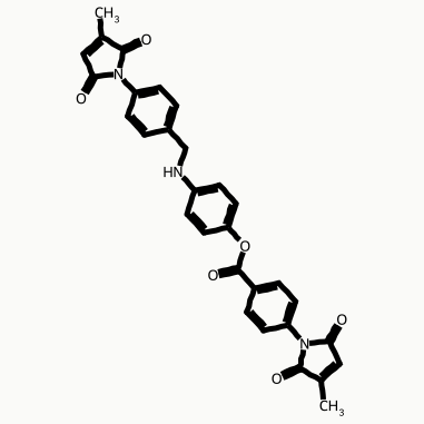 CC1=CC(=O)N(c2ccc(CNc3ccc(OC(=O)c4ccc(N5C(=O)C=C(C)C5=O)cc4)cc3)cc2)C1=O